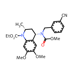 CCOC(=O)N1c2cc(OC)c(OC)cc2[C@@H](N(Cc2cccc(C#N)c2)C(=O)OC)C[C@H]1C